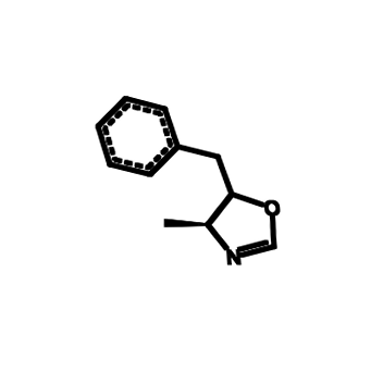 C[C@@H]1N=COC1Cc1ccccc1